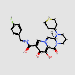 O=C(NCc1ccc(F)cc1)c1cn2c(c(O)c1=O)C(=O)N1CCCN(C3CCSCC3)[C@@H]1C2